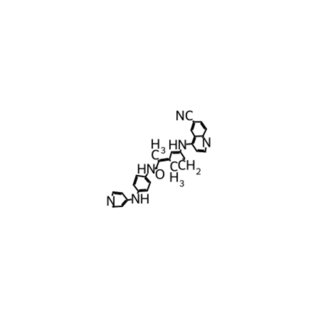 C=C/C(=C\C(C)=C(/C)C(=O)Nc1ccc(Nc2ccncc2)cc1)Nc1ccnc2ccc(C#N)cc12